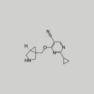 N#Cc1cnc(C2CC2)nc1OCC12CNC[C@H]1C2